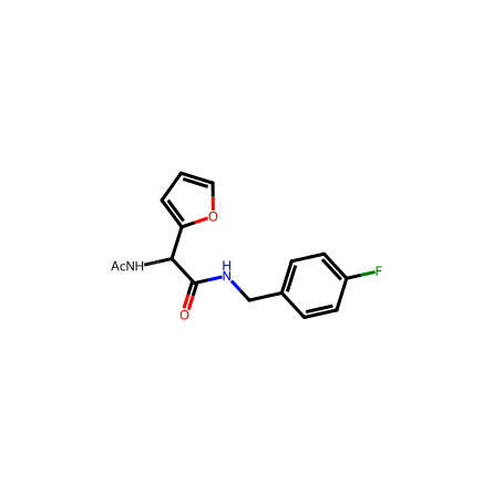 CC(=O)NC(C(=O)NCc1ccc(F)cc1)c1ccco1